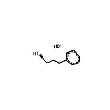 Br.C#CCCCc1ccccc1